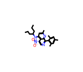 CCCC(CCC)Nc1cc(C)nc2c(-c3c(C)cc(C)cc3C)ncc([N+](=O)[O-])c12